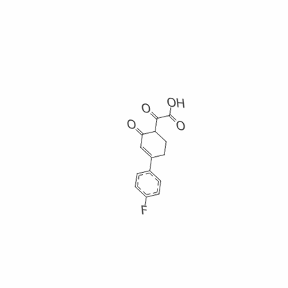 O=C(O)C(=O)C1CCC(c2ccc(F)cc2)=CC1=O